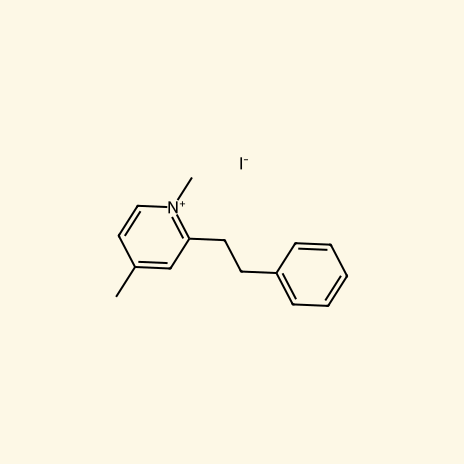 Cc1cc[n+](C)c(CCc2ccccc2)c1.[I-]